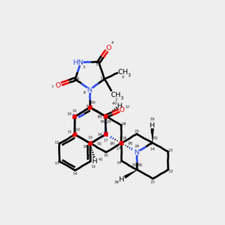 CC1(C)C(=O)NC(=O)N1c1nc2ccccc2n([C@H]2C[C@H]3CCC[C@@H](C2)N3[C@H]2C[C@@H]3CCC[C@@H](C3)C2)c1=O